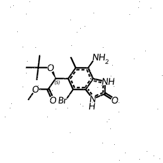 COC(=O)[C@@H](OC(C)(C)C)c1c(C)c(N)c2[nH]c(=O)[nH]c2c1Br